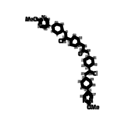 COc1ncc([C@H]2CC[C@H](CC(Cl)C3CCC(CC(=O)C[C@H]4CC[C@H](C(Cl)C[C@H]5CC[C@H](c6cnc(OC)nc6)CC5)CC4)CC3)CC2)cn1